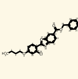 CCCCOc1ccc(-c2nc3ccc(C(=O)OCc4ccccc4)cc3o2)c(Cl)c1